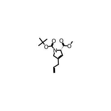 C=CCC1=C[C@@H](C(=O)OC)N(C(=O)OC(C)(C)C)C1